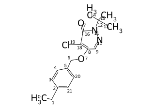 CCc1ccc(COc2cnn(C(C)(C)C)c(=O)c2Cl)cc1